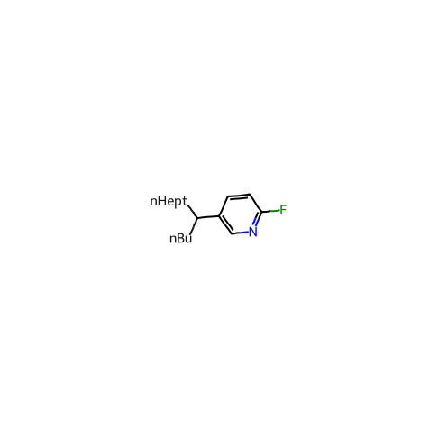 CCCCCCCC(CCCC)c1ccc(F)nc1